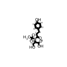 CC(C)(C)N(C(=O)CCc1ccc(O)cc1)C(CO)C(=O)O